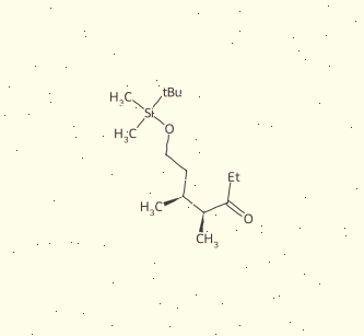 CCC(=O)[C@@H](C)[C@@H](C)CCO[Si](C)(C)C(C)(C)C